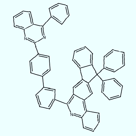 c1ccc(-c2nc(-c3ccc(-c4cccc(-c5nc6ccccc6c6cc7c(cc56)-c5ccccc5C7(c5ccccc5)c5ccccc5)c4)cc3)nc3ccccc23)cc1